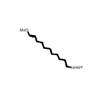 CCCCCCCCCCCCCCCCC=COC